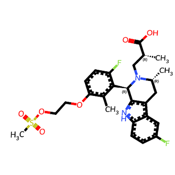 Cc1c(OCCOS(C)(=O)=O)ccc(F)c1[C@@H]1c2[nH]c3ccc(F)cc3c2C[C@@H](C)N1C[C@@H](C)C(=O)O